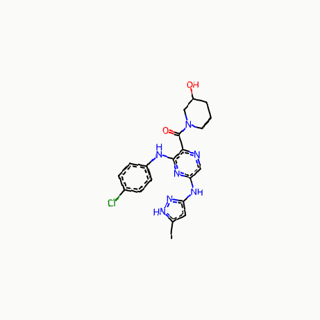 Cc1cc(Nc2cnc(C(=O)N3CCCC(O)C3)c(Nc3ccc(Cl)cc3)n2)n[nH]1